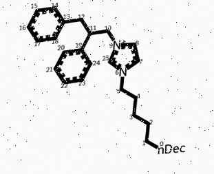 CCCCCCCCCCCCCCCn1cc[n+](CC(Cc2ccccc2)c2ccccc2)c1